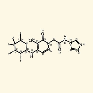 C[C@@H]1[C@@H](C)C(C)(C)[C@@H](C)C[C@H]1Nc1cnn(CC(=O)Nn2cnnc2)c(=O)c1Cl